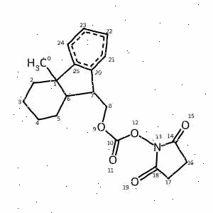 CC12CCCCC1C(COC(=O)ON1C(=O)CCC1=O)c1ccccc12